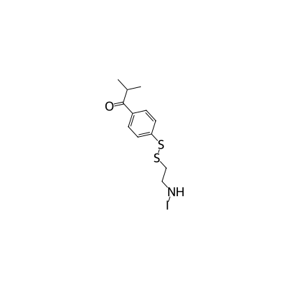 CC(C)C(=O)c1ccc(SSCCNI)cc1